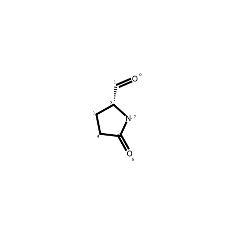 O=C[C@H]1CCC(=O)[N]1